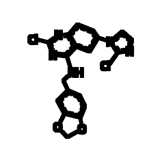 Clc1nc(NCc2ccc3c(c2)OCO3)c2cc(-n3ccnc3Cl)ccc2n1